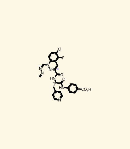 C=N/N=C\N(N)c1ccc(Cl)c(F)c1/C=C/C(=O)N[C@@H](Cc1ccncc1)C(=O)Nc1ccc(C(=O)O)cc1